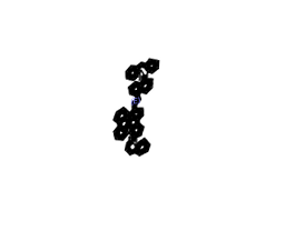 C(=C\c1cccc2c(N3c4ccccc4Cc4ccccc43)cccc12)/c1ccc2c(c1)C1(c3ccccc3-c3ccccc31)c1cc(N3CCCc4ccccc43)ccc1-2